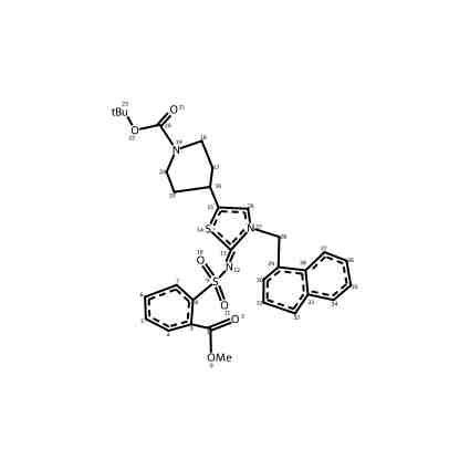 COC(=O)c1ccccc1S(=O)(=O)N=c1sc(C2CCN(C(=O)OC(C)(C)C)CC2)cn1Cc1cccc2ccccc12